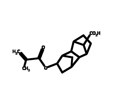 C=C(C)C(=O)OC1CC2CC1C1C3CCC(C3C(=O)O)C21